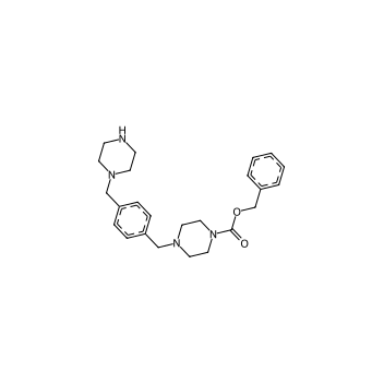 O=C(OCc1ccccc1)N1CCN(Cc2ccc(CN3CCNCC3)cc2)CC1